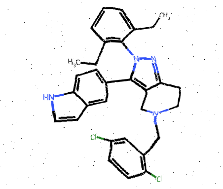 CCc1cccc(CC)c1-n1nc2c(c1-c1ccc3[nH]ccc3c1)CN(Cc1cc(Cl)ccc1Cl)CC2